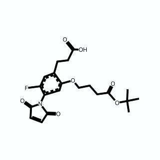 CC(C)(C)OC(=O)CCCOc1cc(N2C(=O)C=CC2=O)c(F)cc1CCC(=O)O